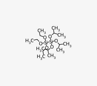 CCO[Si](OCC)(OCC)[Si](OC(C)C)(OC(C)C)OC(C)C